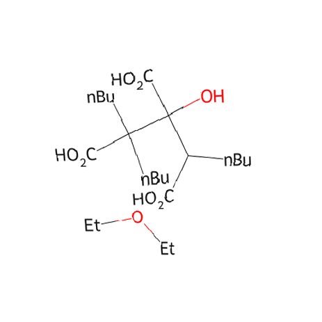 CCCCC(C(=O)O)C(O)(C(=O)O)C(CCCC)(CCCC)C(=O)O.CCOCC